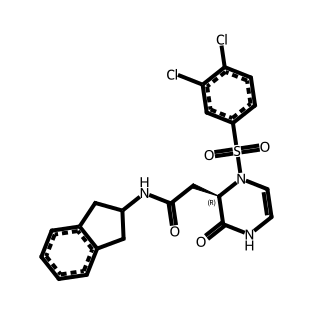 O=C(C[C@@H]1C(=O)NC=CN1S(=O)(=O)c1ccc(Cl)c(Cl)c1)NC1Cc2ccccc2C1